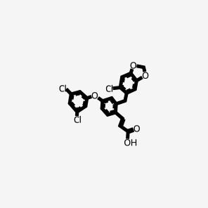 O=C(O)C=Cc1ccc(Oc2cc(Cl)cc(Cl)c2)cc1Cc1cc2c(cc1Cl)OCO2